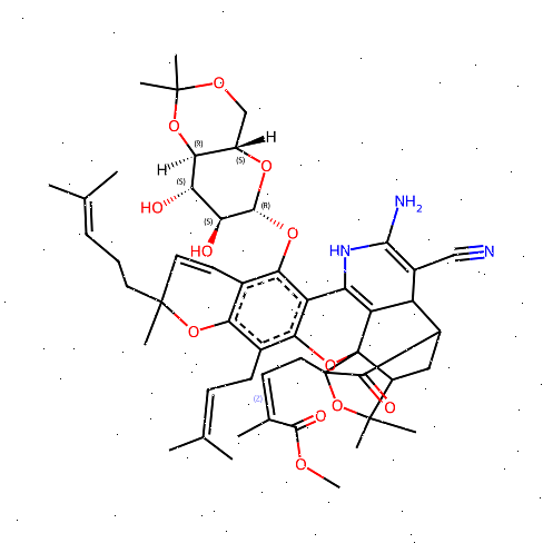 COC(=O)/C(C)=C\CC12OC(C)(C)C3CC(C1=O)C1C(C#N)=C(N)NC4=C1C32Oc1c(CC=C(C)C)c2c(c(O[C@H]3O[C@H]5COC(C)(C)O[C@@H]5[C@@H](O)[C@@H]3O)c14)C=CC(C)(CCC=C(C)C)O2